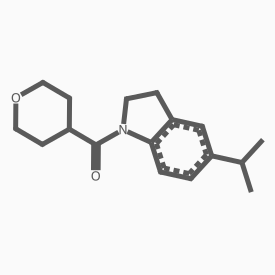 CC(C)c1ccc2c(c1)CCN2C(=O)C1CCOCC1